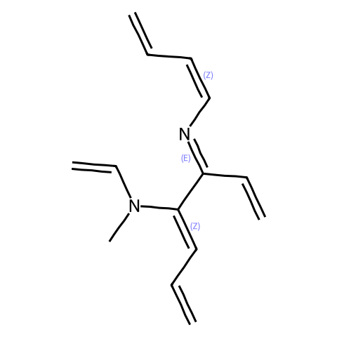 C=C\C=C/N=C(C=C)/C(=C/C=C)N(C)C=C